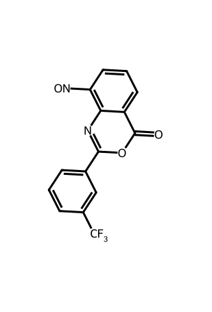 O=Nc1cccc2c(=O)oc(-c3cccc(C(F)(F)F)c3)nc12